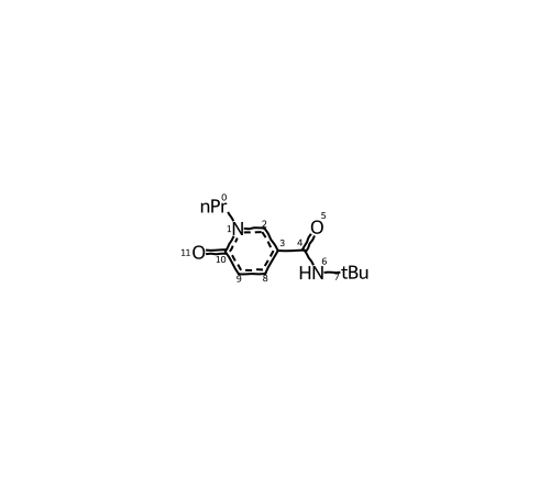 CCCn1cc(C(=O)NC(C)(C)C)ccc1=O